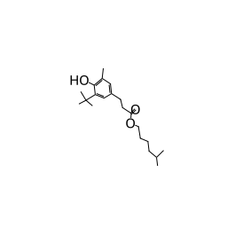 Cc1cc(CCC(=O)OCCCCC(C)C)cc(C(C)(C)C)c1O